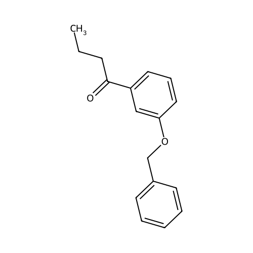 CCCC(=O)c1cccc(OCc2ccccc2)c1